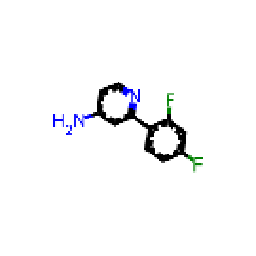 Nc1ccnc(-c2ccc(F)cc2F)c1